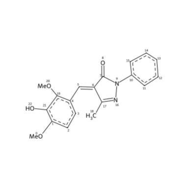 COc1ccc(C=C2C(=O)N(c3ccccc3)N=C2C)c(OC)c1O